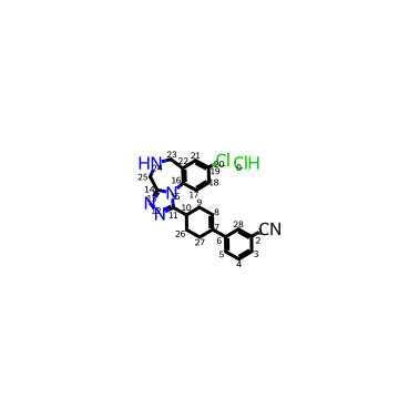 Cl.N#Cc1cccc(C2=CCC(c3nnc4n3-c3ccc(Cl)cc3CNC4)CC2)c1